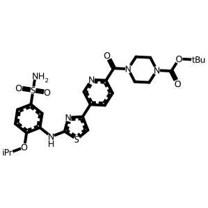 CC(C)Oc1ccc(S(N)(=O)=O)cc1Nc1nc(-c2ccc(C(=O)N3CCN(C(=O)OC(C)(C)C)CC3)nc2)cs1